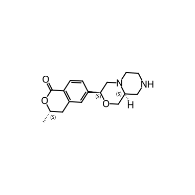 C[C@H]1Cc2cc([C@H]3CN4CCNC[C@H]4CO3)ccc2C(=O)O1